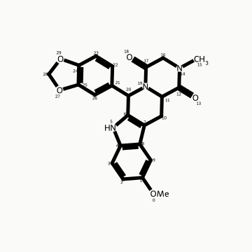 COc1ccc2[nH]c3c(c2c1)CC1C(=O)N(C)CC(=O)N1C3c1ccc2c(c1)OCO2